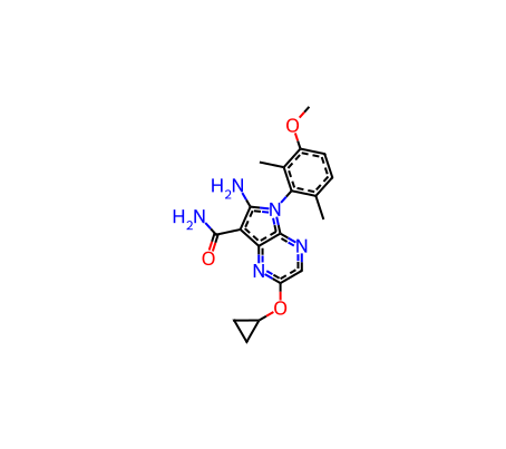 COc1ccc(C)c(-n2c(N)c(C(N)=O)c3nc(OC4CC4)cnc32)c1C